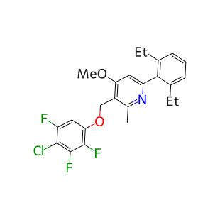 CCc1cccc(CC)c1-c1cc(OC)c(COc2cc(F)c(Cl)c(F)c2F)c(C)n1